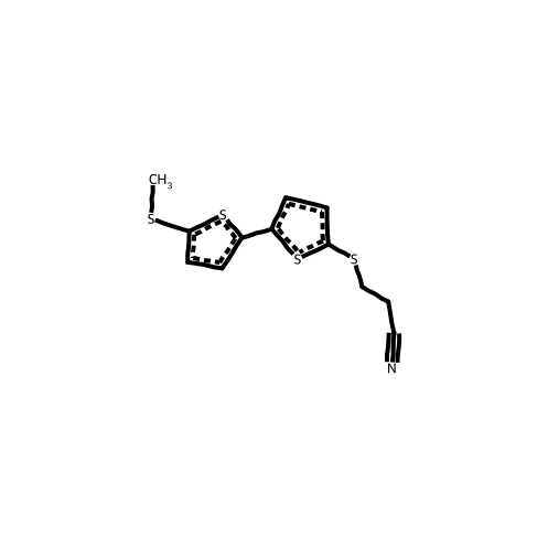 CSc1ccc(-c2ccc(SCCC#N)s2)s1